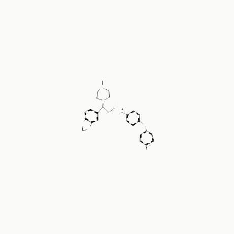 CN1CCN(C(CNS(=O)(=O)c2ccc(Oc3ccc(F)cc3)cc2)c2ccc3c(c2)OCO3)CC1